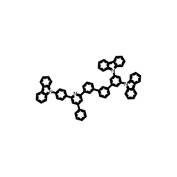 c1ccc(-c2cc(-c3ccc(-n4c5ccccc5c5ccccc54)cc3)nc(-c3cccc(-c4cccc(-c5cc(-n6c7ccccc7c7ccccc76)cc(-n6c7ccccc7c7ccccc76)c5)c4)c3)c2)cc1